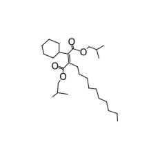 CCCCCCCCCCC(C(=O)OCC(C)C)=C(C(=O)OCC(C)C)C1CCCCC1